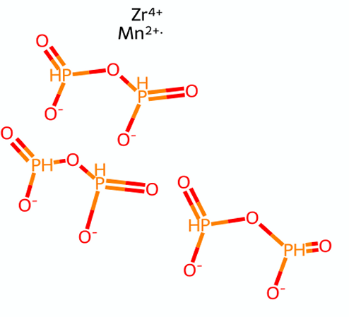 O=[PH]([O-])O[PH](=O)[O-].O=[PH]([O-])O[PH](=O)[O-].O=[PH]([O-])O[PH](=O)[O-].[Mn+2].[Zr+4]